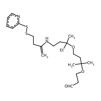 C=C(CCSSc1ccccn1)NCCC(C)(CC)OCCC(C)(C)OCCC=O